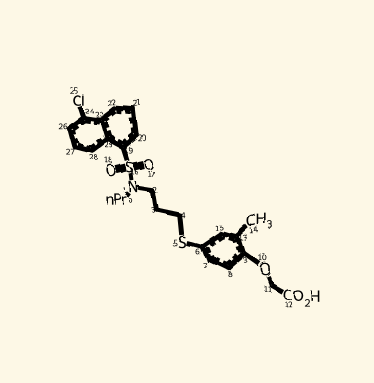 CCCN(CCCSc1ccc(OCC(=O)O)c(C)c1)S(=O)(=O)c1cccc2c(Cl)cccc12